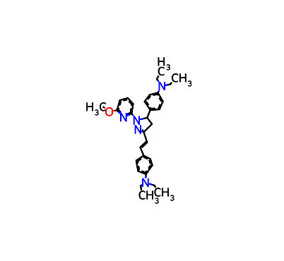 CCN(CC)c1ccc(C=CC2=NN(c3cccc(OC)n3)C(c3ccc(N(CC)CC)cc3)C2)cc1